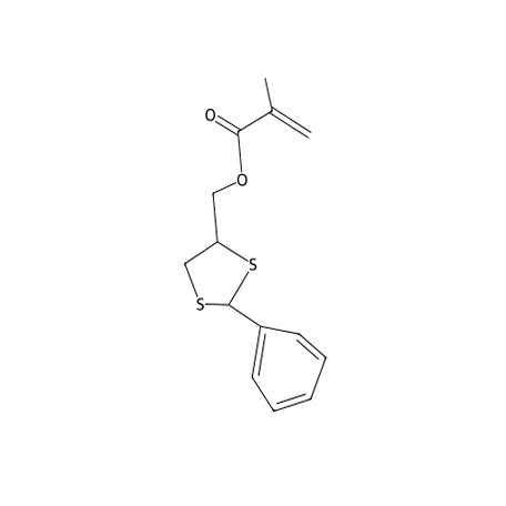 C=C(C)C(=O)OCC1CSC(c2ccccc2)S1